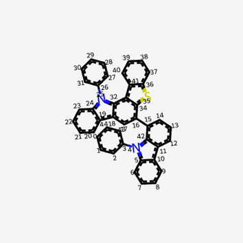 c1ccc(-n2c3ccccc3c3cccc(-c4cc5c6ccccc6n(-c6ccccc6)c5c5c4sc4ccccc45)c32)cc1